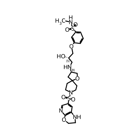 CNS(=O)(=O)c1cccc(OC[C@@H](O)CN[C@H]2COC3(CCN(S(=O)(=O)c4cnc5c(c4)NCCO5)CC3)C2)c1